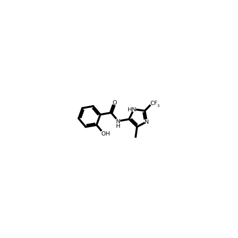 Cc1nc(C(F)(F)F)[nH]c1NC(=O)c1ccccc1O